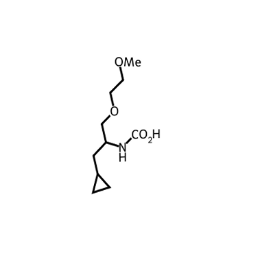 COCCOCC(CC1CC1)NC(=O)O